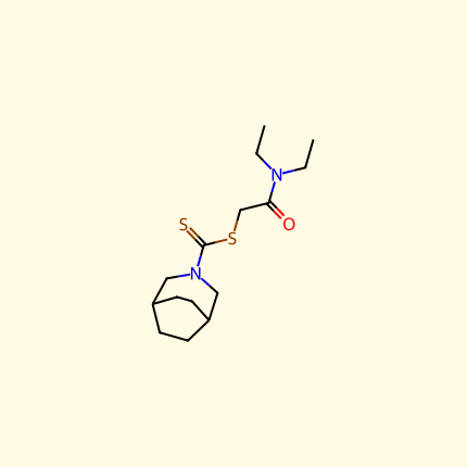 CCN(CC)C(=O)CSC(=S)N1CC2CCC(CC2)C1